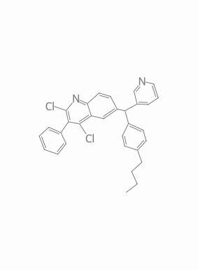 CCCCc1ccc(C(c2cccnc2)c2ccc3nc(Cl)c(-c4ccccc4)c(Cl)c3c2)cc1